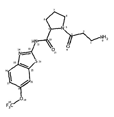 NCCC(=O)N1CCCC1C(=O)Nc1nc2ccc(OC(F)(F)F)cc2s1